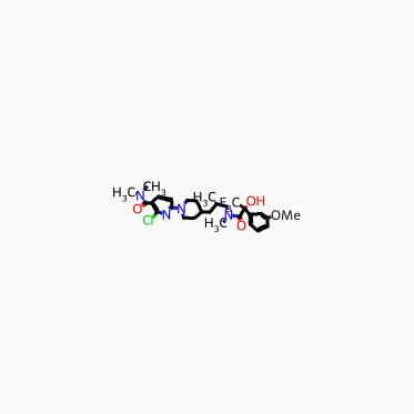 COc1cccc(C(O)(C(=O)N(C)C[C@@H](C)CC2CCN(c3ccc(C(=O)N(C)C)c(Cl)n3)CC2)C(F)(F)F)c1